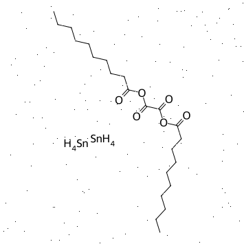 CCCCCCCCCC(=O)OC(=O)C(=O)OC(=O)CCCCCCCCC.[SnH4].[SnH4]